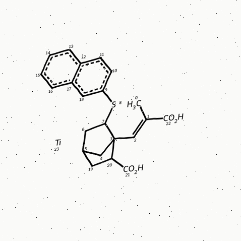 CC(=CC12CC(CC1Sc1ccc3ccccc3c1)CC2C(=O)O)C(=O)O.[Ti]